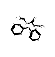 CCOC(=O)CC.c1ccc(Pc2ccccc2)cc1